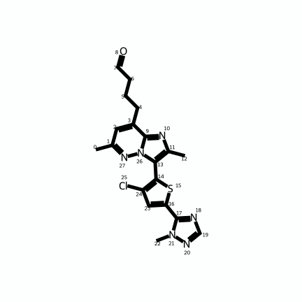 Cc1cc(CCCC=O)c2nc(C)c(-c3sc(-c4ncnn4C)cc3Cl)n2n1